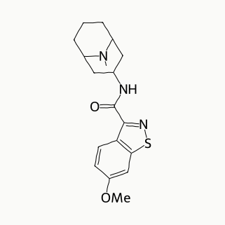 COc1ccc2c(C(=O)NC3CC4CCCC(C3)N4C)nsc2c1